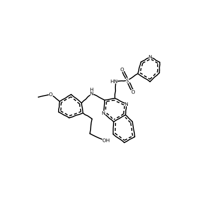 COc1ccc(CCO)c(Nc2nc3ccccc3nc2NS(=O)(=O)c2cccnc2)c1